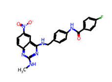 CNc1nc(NCc2ccc(NC(=O)c3ccc(F)cc3)cc2)c2cc([N+](=O)[O-])ccc2n1